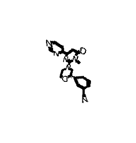 Cn1c(N2CCO[C@H](C3C=C(C#N)C=CC3)C2)nc(-c2ccncn2)cc1=O